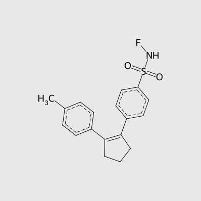 Cc1ccc(C2=C(c3ccc(S(=O)(=O)NF)cc3)CCC2)cc1